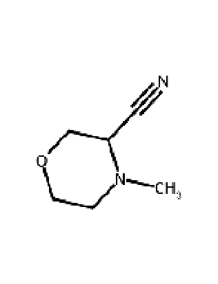 CN1CCOCC1C#N